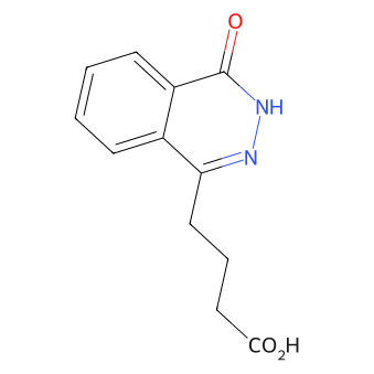 O=C(O)CCCc1n[nH]c(=O)c2ccccc12